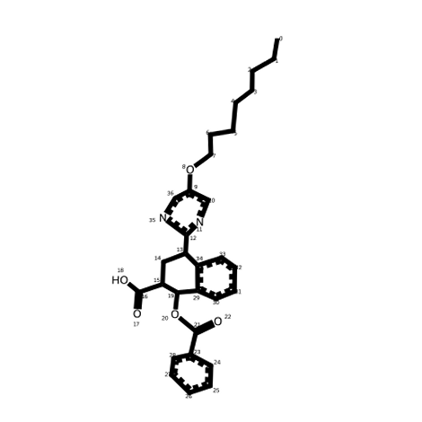 CCCCCCCCOc1cnc(C2CC(C(=O)O)C(OC(=O)c3ccccc3)c3ccccc32)nc1